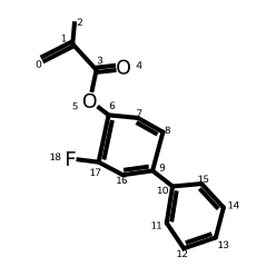 C=C(C)C(=O)Oc1ccc(-c2ccccc2)cc1F